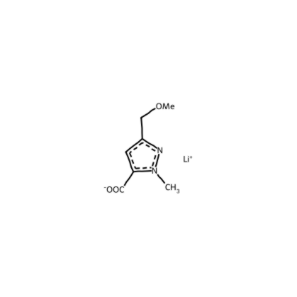 COCc1cc(C(=O)[O-])n(C)n1.[Li+]